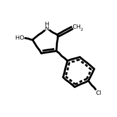 C=C1NC(O)C=C1c1ccc(Cl)cc1